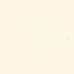 NC1CCN(C2CC(C3CC3)C(C(=O)Nc3ccc(C(=O)O)cc3)N(C(=O)/C=C/c3cc(Cl)ccc3-n3cnnn3)C2)CC1